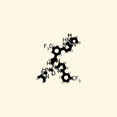 Cc1nc(NC(=O)N2c3nc(C4CCCC(C(F)(F)F)C4)ccc3N3C[C@@H]2CC3C2CC(c3ccc4c(n3)N[C@H]3CCN4C3)CC(C(F)(F)F)C2)sc1C